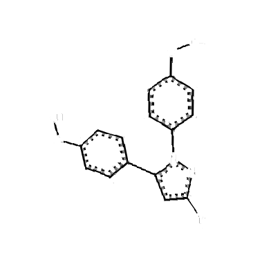 COc1ccc(-n2nc(Br)cc2-c2ccc(SC)cc2)cc1